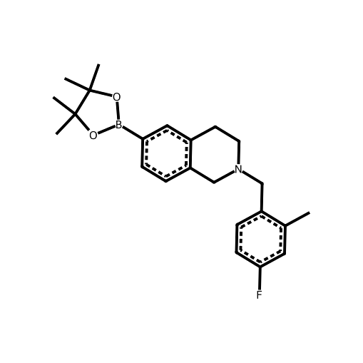 Cc1cc(F)ccc1CN1CCc2cc(B3OC(C)(C)C(C)(C)O3)ccc2C1